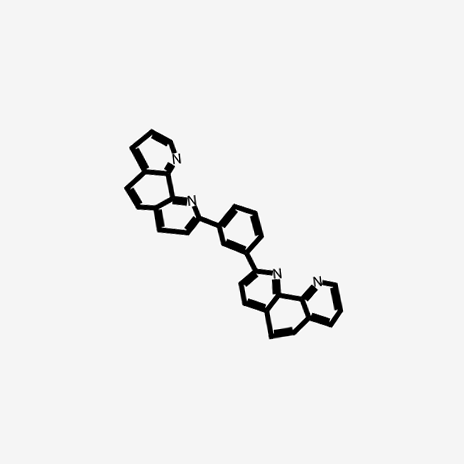 c1cc(-c2ccc3ccc4cccnc4c3n2)cc(-c2ccc3ccc4cccnc4c3n2)c1